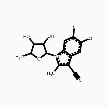 Cc1c(C#N)c2cc(Cl)c(Cl)cc2n1C1OC(C)C(O)C1O